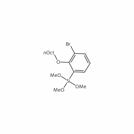 CCCCCCCCOc1c(Br)cccc1[Si](OC)(OC)OC